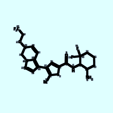 CCc1sc(C(=O)NC2C(N)CCCC2(F)F)cc1-c1cnn2c1C=CN(OCC(F)(F)F)C2